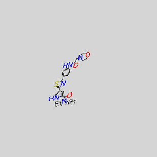 CCCN(CC)C(=O)c1cc(-c2csc(-c3ccc(NC(=O)CN4CCOCC4)cc3)n2)c[nH]1